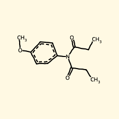 CCC(=O)N(C(=O)CC)c1ccc(OC)cc1